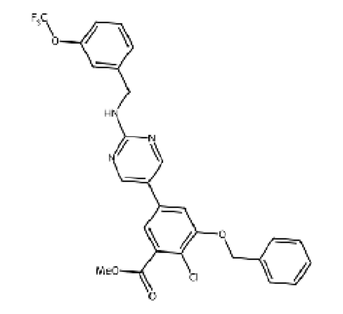 COC(=O)c1cc(-c2cnc(NCc3cccc(OC(F)(F)F)c3)nc2)cc(OCc2ccccc2)c1Cl